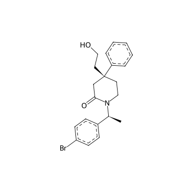 C[C@@H](c1ccc(Br)cc1)N1CC[C@@](CCO)(c2ccccc2)CC1=O